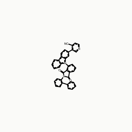 N#Cc1ccncc1-c1ccc2c3ccccc3n(-c3cccc4c3C(=O)N(c3ccccc3-c3ccccc3)C4=O)c2c1